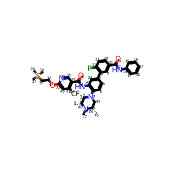 C[C@@H]1CN(c2ccc(-c3cc(C(=O)Nc4ccccc4)ccc3F)cc2NC(=O)c2cnc(OCCS(C)(C)C)cc2C(F)(F)F)C[C@H](C)N1C